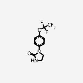 O=C1NC[CH]N1c1ccc(OC(F)(F)C(F)(F)F)cc1